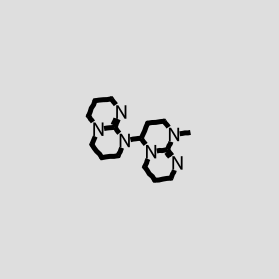 CN1CCC(N2CCCN3CCCN=C32)N2CCCN=C12